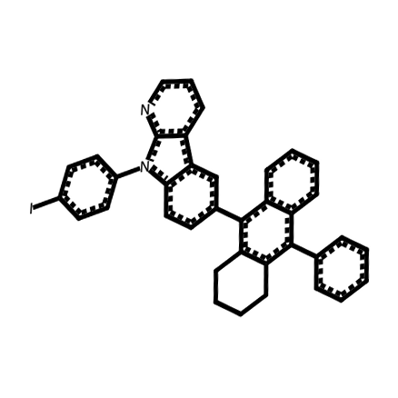 Ic1ccc(-n2c3ccc(-c4c5c(c(-c6ccccc6)c6ccccc46)CCCC5)cc3c3cccnc32)cc1